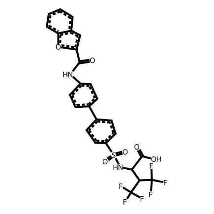 O=C(Nc1ccc(-c2ccc(S(=O)(=O)NC(C(=O)O)C(C(F)(F)F)C(F)(F)F)cc2)cc1)c1cc2ccccc2o1